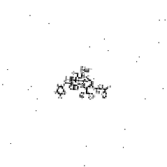 CO[C@@]1(NC(=O)Cc2cccs2)C(=O)N2C(C(=O)[O-])=C(C(C)OC(C)=O)CS[C@@H]21.[Na+]